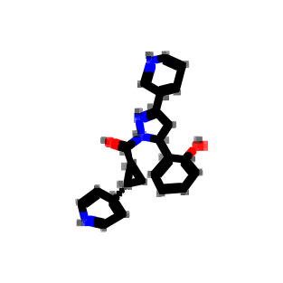 O=C([C@H]1C[C@@H]1c1ccncc1)N1N=C(c2cccnc2)CC1c1ccccc1O